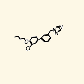 CCCCOc1ccc(-c2cccc(Cn3cncn3)c2)cc1Cl